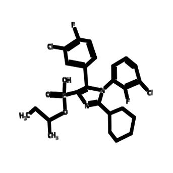 CCC(C)OP(=O)(O)c1nc(C2CCCCC2)n(-c2cccc(Cl)c2F)c1-c1ccc(F)c(Cl)c1